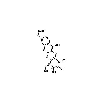 CCCCCCCCCCOc1ccc2c(O)c(O[C@@H]3O[C@H](CO)[C@H](O)[C@H](O)[C@H]3O)c(=O)oc2c1